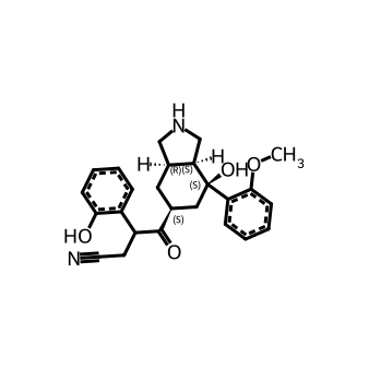 COc1ccccc1[C@]1(O)C[C@@H](C(=O)C(CC#N)c2ccccc2O)C[C@H]2CNC[C@H]21